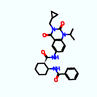 CC(C)n1c(=O)n(CC2CC2)c(=O)c2cc(NC(=O)[C@H]3CCCC[C@@H]3NC(=O)c3ccccc3)ccc21